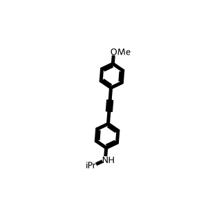 COc1ccc(C#Cc2ccc(NC(C)C)cc2)cc1